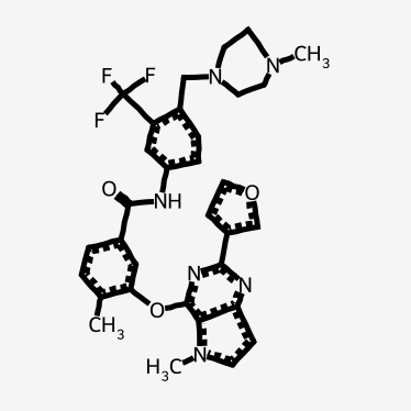 Cc1ccc(C(=O)Nc2ccc(CN3CCN(C)CC3)c(C(F)(F)F)c2)cc1Oc1nc(-c2ccoc2)nc2ccn(C)c12